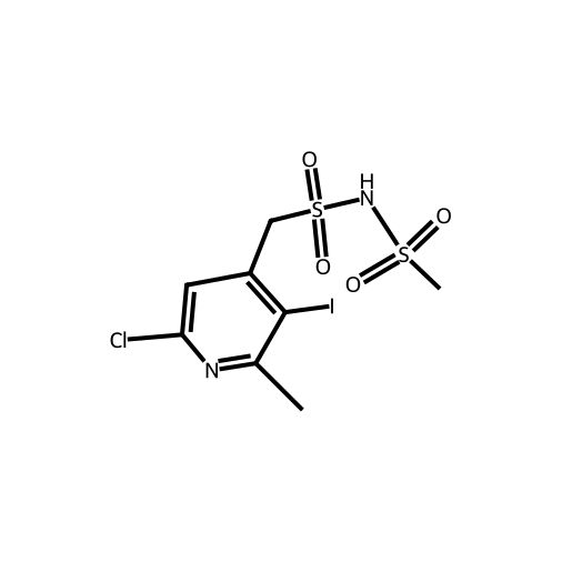 Cc1nc(Cl)cc(CS(=O)(=O)NS(C)(=O)=O)c1I